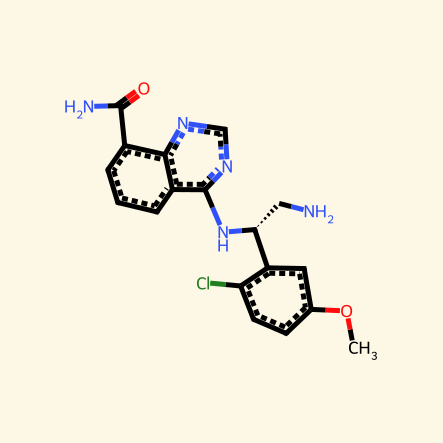 COc1ccc(Cl)c([C@@H](CN)Nc2ncnc3c(C(N)=O)cccc23)c1